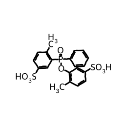 Cc1ccc(S(=O)(=O)O)cc1OP(=O)(c1ccccc1)c1cc(S(=O)(=O)O)ccc1C